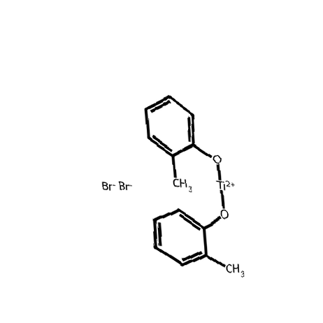 Cc1ccccc1[O][Ti+2][O]c1ccccc1C.[Br-].[Br-]